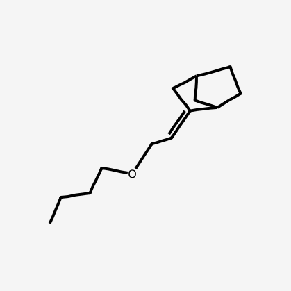 CCCCOCC=C1CC2CCC1C2